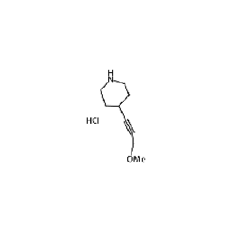 COCC#CC1CCNCC1.Cl